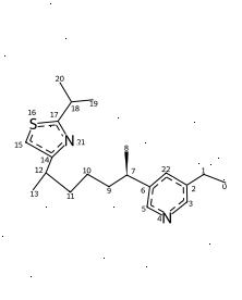 CCc1cncc([C@H](C)CCCC(C)c2csc(C(C)C)n2)c1